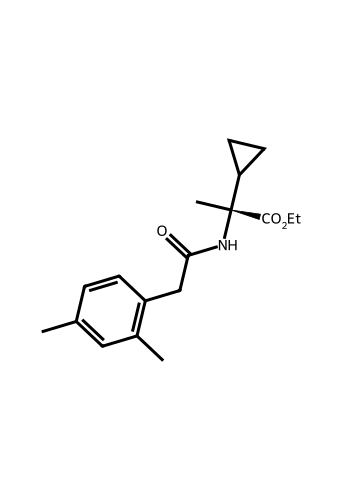 CCOC(=O)[C@](C)(NC(=O)Cc1ccc(C)cc1C)C1CC1